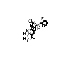 C[C@H](F)[C@H](N)Cc1cc2c(NCc3ncccc3F)nc(Cl)nn2c1Br